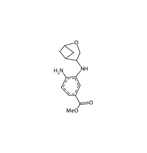 COC(=O)c1ccc(N)c(NC2COC3CC2C3)c1